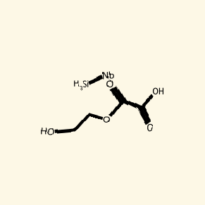 O=C(O)C(=O)OCCO.[SiH3][Nb]